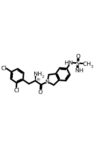 CS(=N)(=O)Nc1ccc2c(c1)CN(C(=O)[C@H](N)Cc1ccc(Cl)cc1Cl)C2